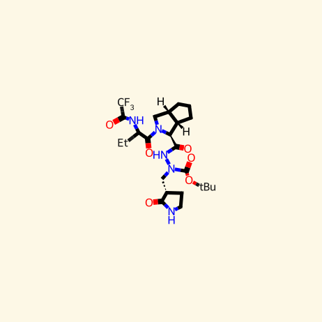 CCC(NC(=O)C(F)(F)F)C(=O)N1C[C@@H]2CCC[C@@H]2[C@H]1C(=O)NN(C[C@@H]1CCNC1=O)C(=O)OC(C)(C)C